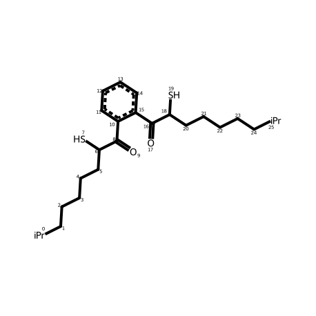 CC(C)CCCCCC(S)C(=O)c1ccccc1C(=O)C(S)CCCCCC(C)C